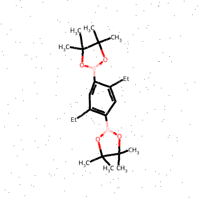 CCc1cc(B2OC(C)(C)C(C)(C)O2)c(CC)cc1B1OC(C)(C)C(C)(C)O1